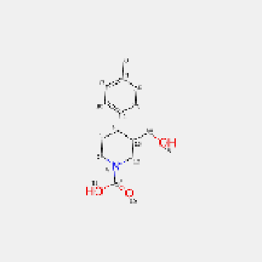 Cc1ccc(C2CCN(C(=O)O)CC2CO)cc1